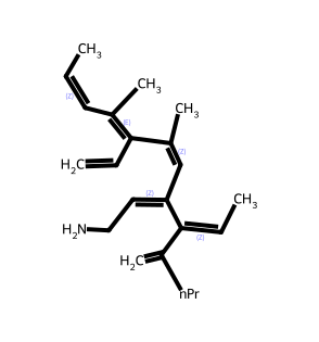 C=CC(/C(C)=C\C(=C\CN)C(=C/C)\C(=C)CCC)=C(C)\C=C/C